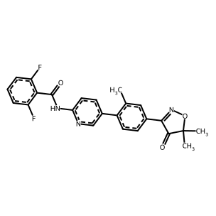 Cc1cc(C2=NOC(C)(C)C2=O)ccc1-c1ccc(NC(=O)c2c(F)cccc2F)nc1